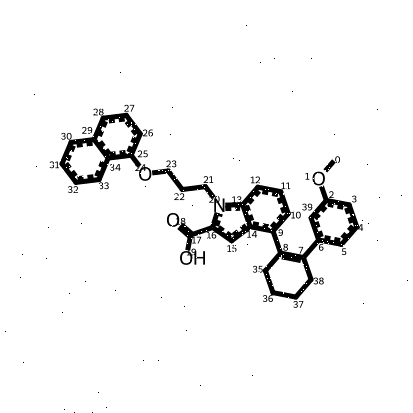 COc1cccc(C2=C(c3cccc4c3cc(C(=O)O)n4CCCOc3cccc4ccccc34)CCCC2)c1